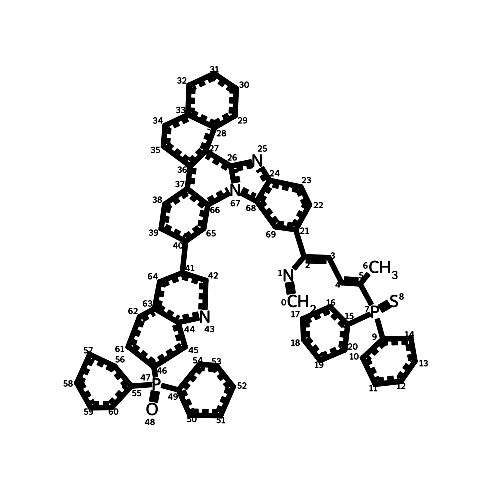 C=N/C(=C\C=C(/C)P(=S)(c1ccccc1)c1ccccc1)c1ccc2nc3c4c5ccccc5ccc4c4ccc(-c5cnc6cc(P(=O)(c7ccccc7)c7ccccc7)ccc6c5)cc4n3c2c1